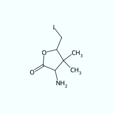 CC1(C)C(CI)OC(=O)C1N